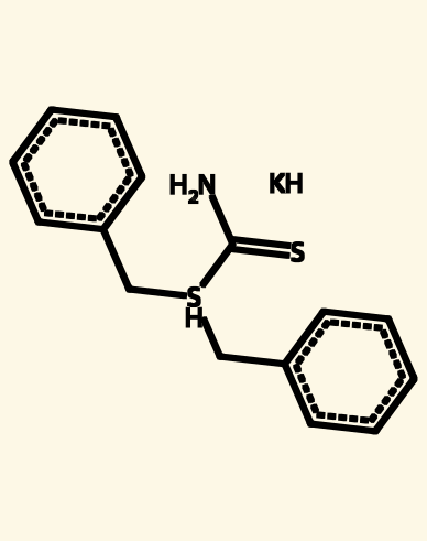 NC(=S)[SH](Cc1ccccc1)Cc1ccccc1.[KH]